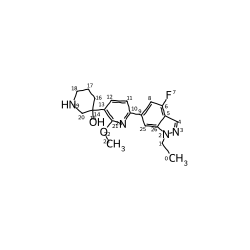 CCn1ncc2c(F)cc(-c3ccc(C4(O)CCCNC4)c(OC)n3)cc21